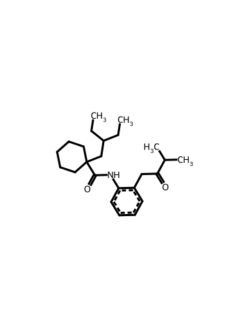 CCC(CC)CC1(C(=O)Nc2ccccc2CC(=O)C(C)C)CCCCC1